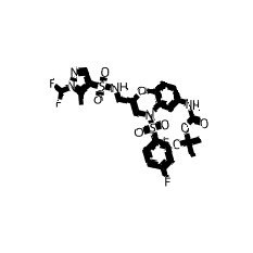 Cc1c(S(=O)(=O)NCC2CN(S(=O)(=O)c3ccc(F)cc3)c3cc(NC(=O)OC(C)(C)C(F)(F)F)ccc3O2)cnn1C(F)F